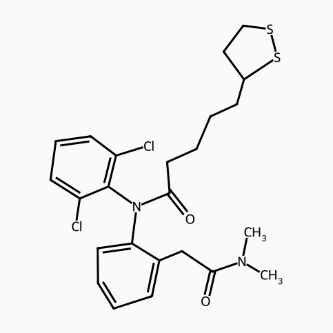 CN(C)C(=O)Cc1ccccc1N(C(=O)CCCCC1CCSS1)c1c(Cl)cccc1Cl